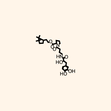 CC1(C)C2C(CCOC(=O)C3CCCN3C(=O)CCCNC(=O)C(O)Cc3ccc(O)c(O)c3)CCC21C